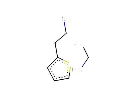 CCN.NCCc1cccs1